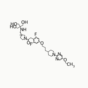 CCOc1cnc(N2CCC(CCCOc3cc(F)c(CC(=O)N4CC[C@@H](CNC(CO)(CO)CO)C4)c(F)c3)CC2)nc1